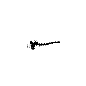 CCCCCCCCCCCCCCCCCCOC(=O)CC(O)c1cc(C(C)(C)C)c(O)c(C(C)(C)C)c1